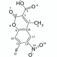 Cc1c(C(=O)O)c(=O)oc2cc(F)c([N+](=O)[O-])cc12